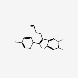 CC1C=c2[nH]c(C3C=CC(F)=CC3)c(CCC=O)c2=CC1F